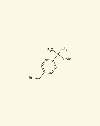 COC(c1ccc(CBr)cc1)(C(F)(F)F)C(F)(F)F